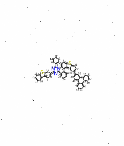 c1ccc(-c2nc(-c3ccc4c(c3)sc3ccccc34)nc(-c3ccccc3-c3cccc4sc5ccc(-c6ccc7c8ccccc8c8ccccc8c7c6)cc5c34)n2)cc1